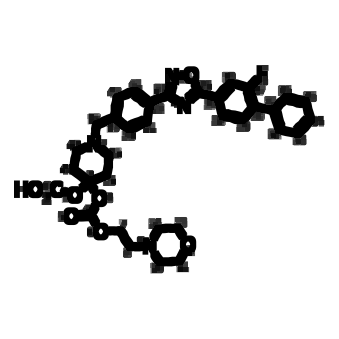 O=C(O)OC1(OC(=O)OCCN2CCOCC2)CCN(Cc2ccc(-c3noc(-c4ccc(-c5ccccc5)c(F)c4)n3)cc2)CC1